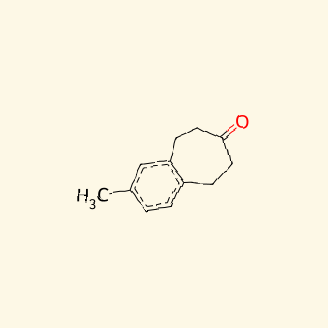 Cc1ccc2c(c1)CCC(=O)CC2